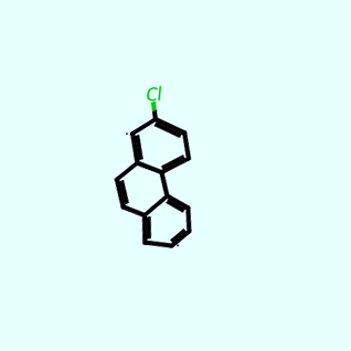 Clc1[c]c2ccc3c[c]ccc3c2cc1